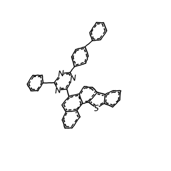 c1ccc(-c2ccc(-c3nc(-c4ccccc4)nc(-c4cc5ccccc5c5c4ccc4c6ccccc6sc45)n3)cc2)cc1